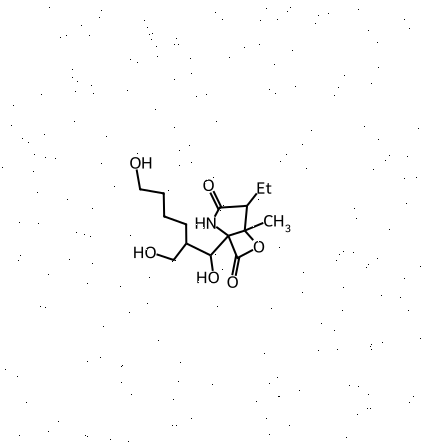 CCC1C(=O)NC2(C(O)C(CO)CCCCO)C(=O)OC12C